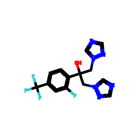 OC(Cn1cncn1)(Cn1cncn1)c1ccc(C(F)(F)F)cc1F